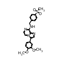 COc1ccc(-c2cnc3c(NCc4ccc(S(C)(=O)=O)cc4)nccn23)cc1OC